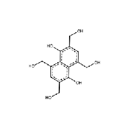 OCc1cc(CO)c2c(O)c(CO)cc(CO)c2c1O